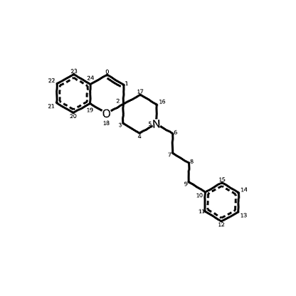 C1=CC2(CCN(CCCCc3ccccc3)CC2)Oc2ccccc21